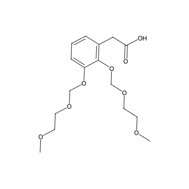 COCCOCOc1cccc(CC(=O)O)c1OCOCCOC